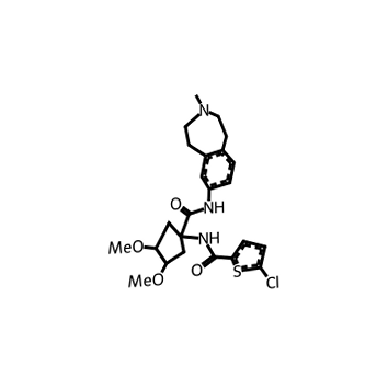 COC1CC(NC(=O)c2ccc(Cl)s2)(C(=O)Nc2ccc3c(c2)CCN(C)CC3)CC1OC